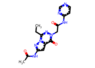 CCc1nn(CC(=O)Nc2ccncn2)c(=O)c2cc(NC(C)=O)nn12